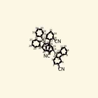 N#Cc1ccc2c(c1)c1ccccc1n2-c1cc(-c2c(C#N)cccc2[Si](c2ccccc2)(c2ccccc2)c2ccccc2)ccc1C#N